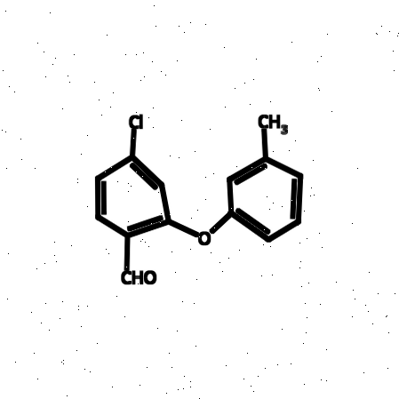 Cc1cccc(Oc2cc(Cl)ccc2C=O)c1